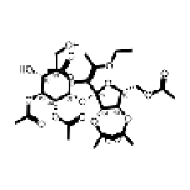 CCOC(C)=C(OC(C)=O)[C@@]1(O[C@H]2O[C@H](CO)[C@@H](O)[C@H](OC(C)=O)[C@H]2OC(C)=O)O[C@H](COC(C)=O)[C@@H](OC(C)=O)[C@@H]1OC(C)=O